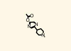 CC(=O)Oc1cnc(C2CCN(C)CC2)cn1